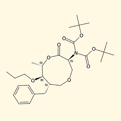 CCCO[C@@H]1[C@@H](Cc2ccccc2)COC[C@H](N(C(=O)OC(C)(C)C)C(=O)OC(C)(C)C)C(=O)O[C@H]1C